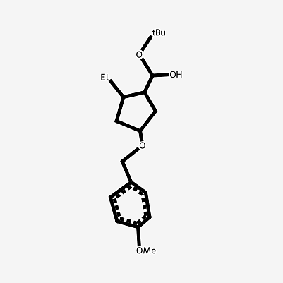 CCC1CC(OCc2ccc(OC)cc2)CC1C(O)OC(C)(C)C